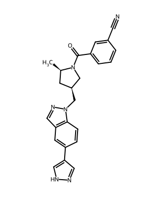 C[C@@H]1C[C@H](Cn2ncc3cc(-c4cn[nH]c4)ccc32)CN1C(=O)c1cccc(C#N)c1